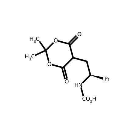 CC(C)[C@H](CC1C(=O)OC(C)(C)OC1=O)NC(=O)O